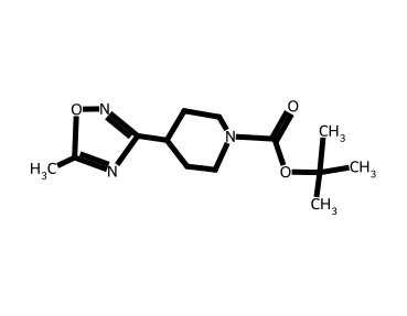 Cc1nc(C2CCN(C(=O)OC(C)(C)C)CC2)no1